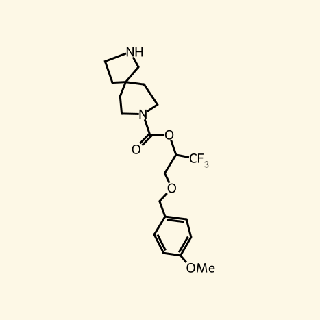 COc1ccc(COCC(OC(=O)N2CCC3(CCNC3)CC2)C(F)(F)F)cc1